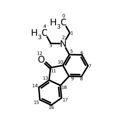 CCN(CC)c1cccc2c1C(=O)c1ccccc1-2